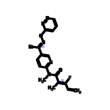 C=C/C(F)=C(\C)C(=O)N(C)c1ccc(/C(CC)=N/Oc2cccnn2)cn1